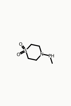 CPN1CCS(=O)(=O)CC1